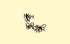 [2H]C([2H])(OC([2H])([2H])c1ccc(NC(=O)c2cc(-c3ccc4nn[nH]c4n3)ccc2F)cc1)c1ccccc1